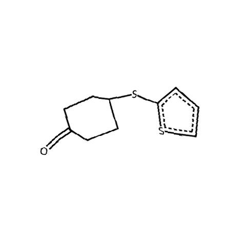 O=C1CCC(Sc2cccs2)CC1